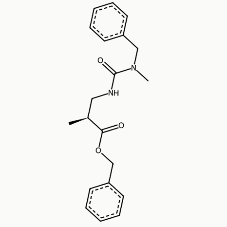 C[C@@H](CNC(=O)N(C)Cc1ccccc1)C(=O)OCc1ccccc1